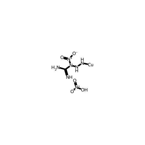 N=C(N)N(N[NH][Cu])[N+](=O)[O-].O=[N+]([O-])O